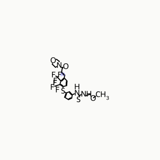 COCCNC(=S)Nc1cccc(Sc2ccc(/C=C/C(=O)N3CCOCC3)c(C(F)(F)F)c2C(F)(F)F)c1